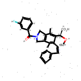 Cc1c(/C=C\c2ccccc2)c([C@H](OC(C)(C)C)C(=O)O)c(C)c2c1CN(C(=O)c1cccc(F)c1)C2